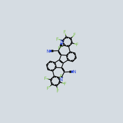 N#CC(C#N)=C1C2=C(C(=C(C#N)C#N)c3c2cccc3-c2c(F)c(F)c(F)c(F)c2F)c2cccc(-c3c(F)c(F)c(F)c(F)c3F)c21